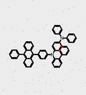 c1ccc(-c2ccccc2N(c2ccc(-c3c4ccccc4c(-c4ccccc4)c4ccccc34)cc2)c2ccc(N(c3ccccc3)c3ccccc3)cc2)cc1